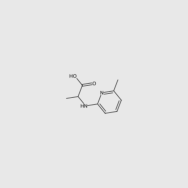 Cc1cccc(NC(C)C(=O)O)n1